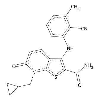 Cc1cccc(Nc2c(C(N)=O)sc3c2ccc(=O)n3CC2CC2)c1C#N